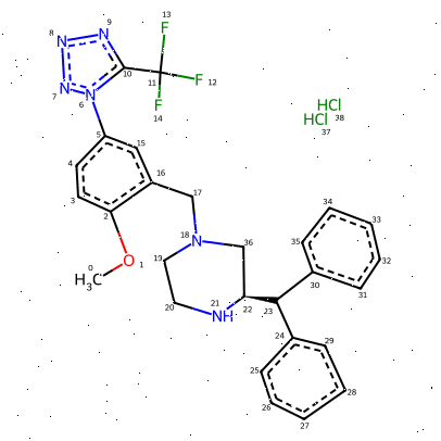 COc1ccc(-n2nnnc2C(F)(F)F)cc1CN1CCN[C@H](C(c2ccccc2)c2ccccc2)C1.Cl.Cl